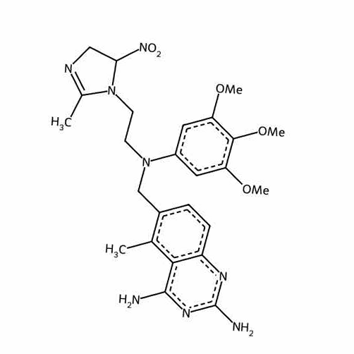 COc1cc(N(CCN2C(C)=NCC2[N+](=O)[O-])Cc2ccc3nc(N)nc(N)c3c2C)cc(OC)c1OC